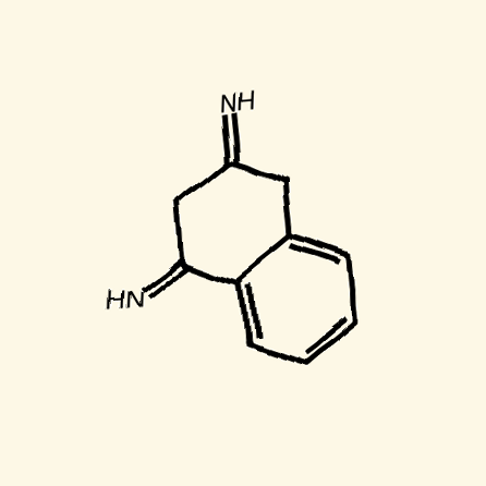 N=C1CC(=N)c2ccccc2C1